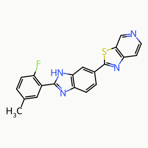 Cc1ccc(F)c(-c2nc3ccc(-c4nc5ccncc5s4)cc3[nH]2)c1